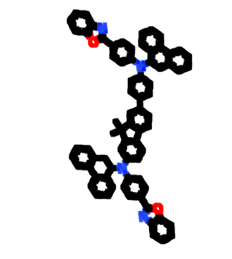 CC1(C)c2cc(-c3ccc(N(c4ccc(-c5nc6ccccc6o5)cc4)c4cc5ccccc5c5ccccc45)cc3)ccc2-c2ccc(N(c3ccc(-c4nc5ccccc5o4)cc3)C3Cc4ccccc4-c4ccccc43)cc21